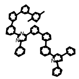 Cc1ccc(C)c(-c2cccc(-c3cccc(-c4cccc(-c5nc(-c6ccccc6)cc(-c6cccc(-c7cccc(-c8cccc(-c9cc(-c%10ccccc%10)cc(-c%10ccccc%10)n9)c8)c7)c6)n5)c4)c3)c2)c1